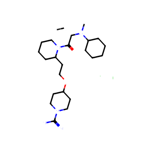 CN(C1CCCCC1)[C@@H](CC(=O)O)C(=O)N1CCCCC1CCOC1CCN(C(=N)N)CC1.Cl.Cl